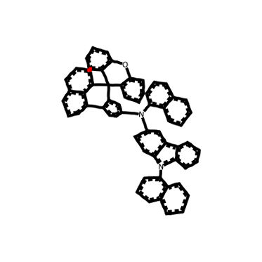 c1ccc2c(c1)Oc1ccccc1C21c2cc(N(c3ccc4c(c3)c3ccccc3n4-c3cccc4ccccc34)c3cccc4ccccc34)ccc2-c2cccc3cccc1c23